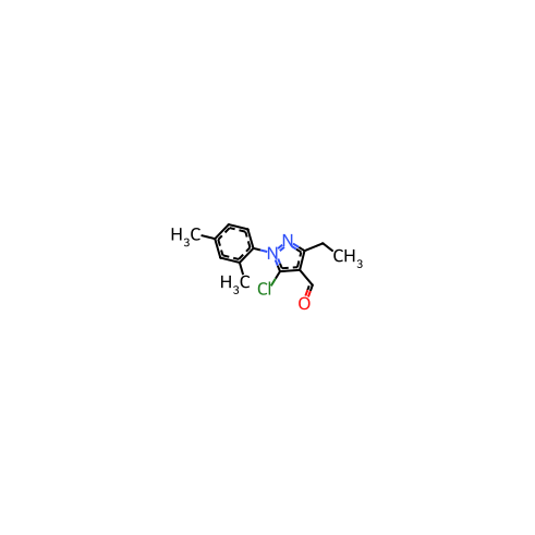 CCc1nn(-c2ccc(C)cc2C)c(Cl)c1C=O